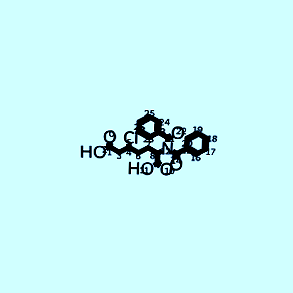 O=C(O)CC(Cl)CCC(C(=O)O)N(C(=O)c1ccccc1)C(=O)c1ccccc1